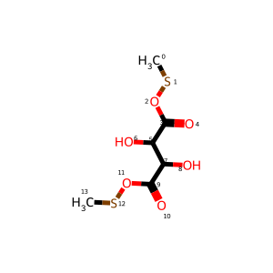 CSOC(=O)C(O)C(O)C(=O)OSC